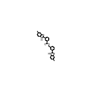 Cc1ccc2[nH]c(-c3cccc(COC(=O)c4cccc(-c5nc6cc(C)ccc6[nH]5)c4)c3)nc2c1